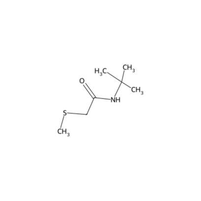 CSCC(=O)NC(C)(C)C